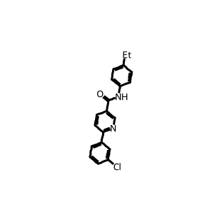 CCc1ccc(NC(=O)c2ccc(-c3cccc(Cl)c3)nc2)cc1